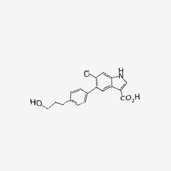 O=C(O)c1c[nH]c2cc(Cl)c(-c3ccc(CCCO)cc3)cc12